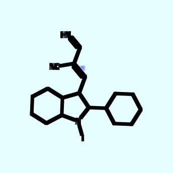 N#C/C(C=N)=C\C1C2CCCCC2N(I)C1C1CCCCC1